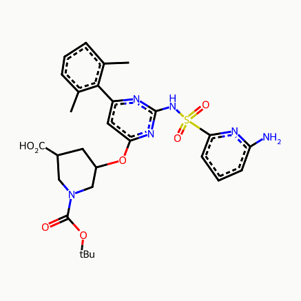 Cc1cccc(C)c1-c1cc(OC2CC(C(=O)O)CN(C(=O)OC(C)(C)C)C2)nc(NS(=O)(=O)c2cccc(N)n2)n1